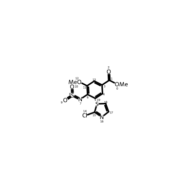 COC(=O)c1ccc(N=S(=O)=O)c(OC)c1.Clc1nccs1